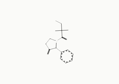 CCC(C)(C)C(=O)N1CCC(=O)C1c1ccccc1